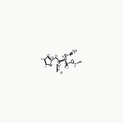 CCOC(=O)/C(SC#N)=C(\N)Cc1cccs1